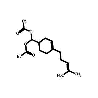 CCC(=O)OC(OC(=O)CC)C1CC=C(CCC=C(C)C)CC1